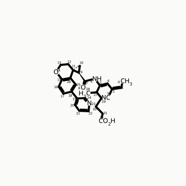 C/C=C(C#N)\C=C(\NC(=O)[C@@H]1C[C@]12CCOc1ccc(-c3cccnc3)cc12)C(C)CCCC(=O)O